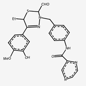 CCC1SC(C=O)N(Cc2ccc(NC(=O)c3cnccn3)cc2)N=C1c1ccc(OC)c(O)c1